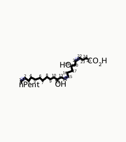 CCCCC/C=C\CCCCCCCCC(O)C/C=C\CCC(O)C/C=C\CCC(=O)O